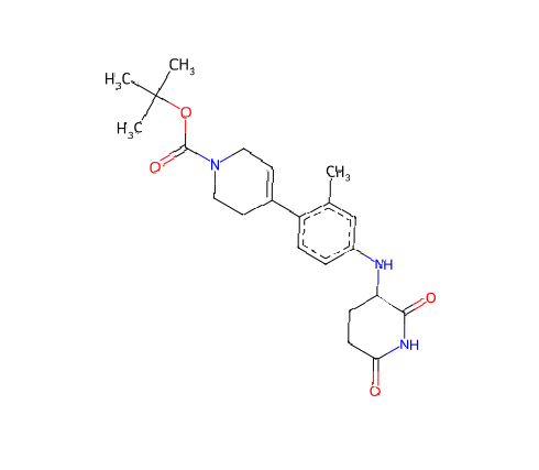 Cc1cc(NC2CCC(=O)NC2=O)ccc1C1=CCN(C(=O)OC(C)(C)C)CC1